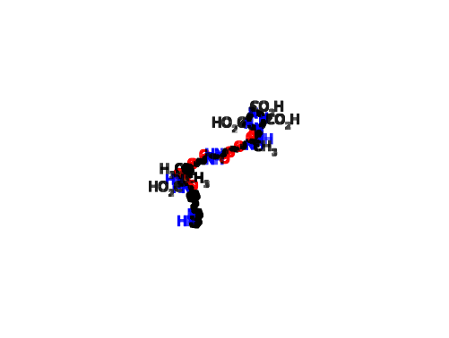 Cc1cc(OCCCC(=O)NCCNC(=O)COCCOCCNC(=O)[C@H](C)NC(=O)CN2CCN(CC(=O)O)CCN(CC(=O)O)CCN(CC(=O)O)CC2)cc(C)c1S(=O)(=O)NC(CNC(=O)c1ccc(CCc2ccc3c(n2)NCCC3)cc1)C(=O)O